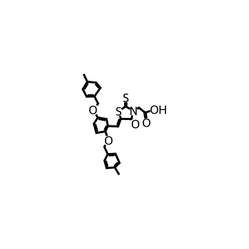 Cc1ccc(COc2ccc(OCc3ccc(C)cc3)c(C=C3SC(=S)N(CC(=O)O)C3=O)c2)cc1